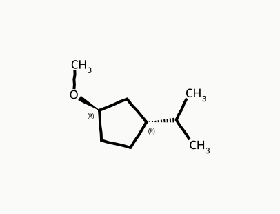 CO[C@@H]1CC[C@@H](C(C)C)C1